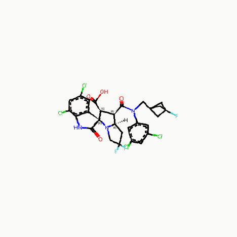 O=C(O)[C@H]1[C@@H](C(=O)N(CC23CC(F)(C2)C3)c2cc(Cl)cc(Cl)c2)[C@H]2CC(F)(F)CN2[C@]12C(=O)Nc1c(Cl)cc(Cl)cc12